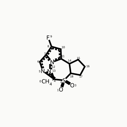 C.O=S1(=O)c2ncc3c(F)cc(n3n2)C2CCCC21